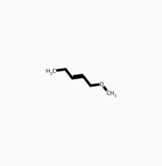 [CH2]CC=CCOC